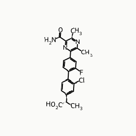 Cc1nc(C)c(-c2ccc(-c3ccc([C@H](C)C(=O)O)cc3Cl)c(F)c2)nc1C(N)=O